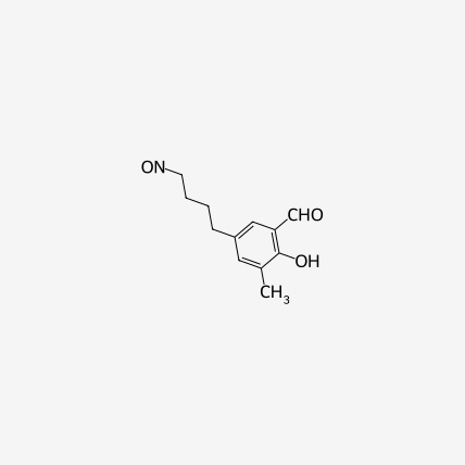 Cc1cc(CCCCN=O)cc(C=O)c1O